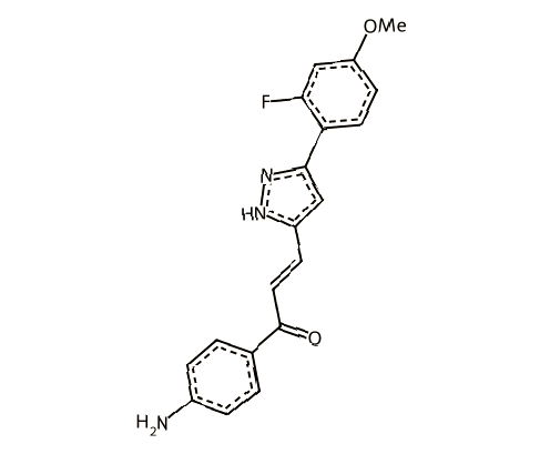 COc1ccc(-c2cc(C=CC(=O)c3ccc(N)cc3)[nH]n2)c(F)c1